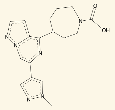 Cn1cc(-c2cn3nccc3c(C3CCCN(C(=O)O)CC3)n2)cn1